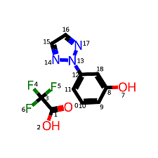 O=C(O)C(F)(F)F.Oc1cccc(-n2nccn2)c1